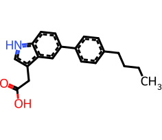 CCCCc1ccc(-c2ccc3[nH]cc(CC(=O)O)c3c2)cc1